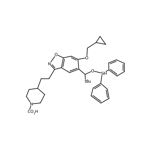 CC(C)(C)C(O[SiH](c1ccccc1)c1ccccc1)c1cc2c(CCC3CCN(C(=O)O)CC3)noc2cc1OCC1CC1